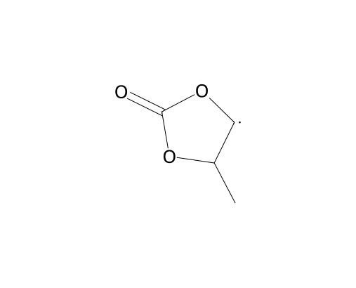 CC1[CH]OC(=O)O1